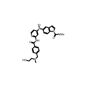 CCN(c1ccnc(NC(=O)c2ccc(CN(C)CCO)cc2)c1)c1ccc2c(ccn2C(=O)NC)c1